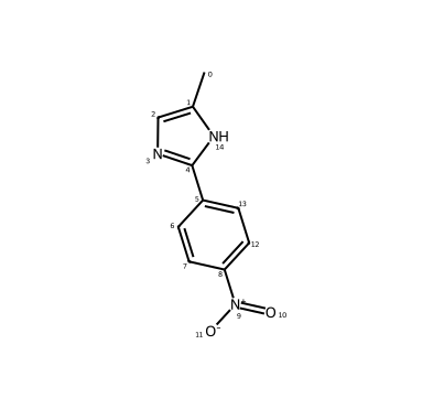 Cc1cnc(-c2ccc([N+](=O)[O-])cc2)[nH]1